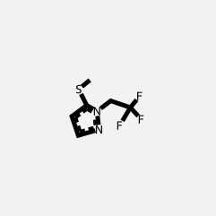 CSc1ccnn1CC(F)(F)F